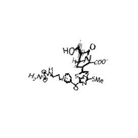 CSc1nc(C(=O)c2ccc[n+](CCCNS(N)(=O)=O)c2)c2sc(C3=C(C(=O)[O-])N4C(=O)[C@H]([C@@H](C)O)[C@H]4[C@H]3C)cn12